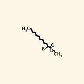 CCCCCCCCCCC(Br)C(=O)OCC